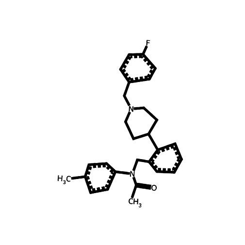 CC(=O)N(Cc1ccccc1C1CCN(Cc2ccc(F)cc2)CC1)c1ccc(C)cc1